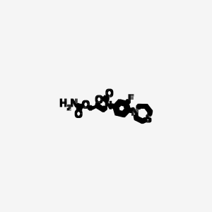 NC(=O)OC[C@@H]1CN(c2ccc(N3CCCSCC3)c(F)c2)C(=O)O1